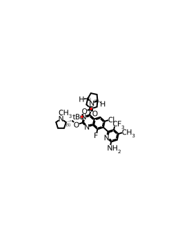 Cc1cc(N)nc(-c2c(Cl)cc3c(N4C[C@@H]5CC[C@@H](C4)N5C(=O)OC(C)(C)C)nc(OC[C@@H]4CCCN4C)nc3c2F)c1C(F)(F)F